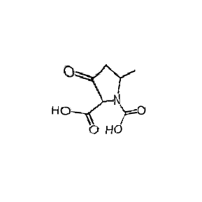 CC1CC(=O)C(C(=O)O)N1C(=O)O